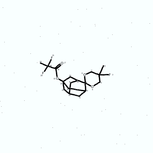 CC1(F)COC2(OC1)C1CC3CC2CC(OC(=O)C(C)(F)F)(C3)C1